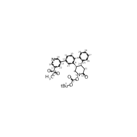 CC(C)(C)OC(=O)ON1C[C@@H](c2cccc(-c3cncc(S(C)(=O)=O)c3)c2)[C@@H](c2ccccc2)CC1=O